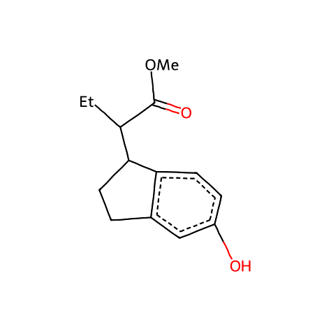 CCC(C(=O)OC)C1CCc2cc(O)ccc21